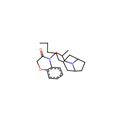 CCCCCC1CC2CCC(C1)N2CC(C)CN1C(=O)COc2ccccc21